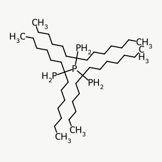 CCCCCCCC(P)(CCCCCC)P(C(P)(CCCCCC)CCCCCCC)C(P)(CCCCCC)CCCCCCC